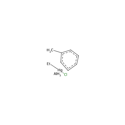 C[CH2][Hg][Cl].[AlH3].[CH2]c1ccccc1